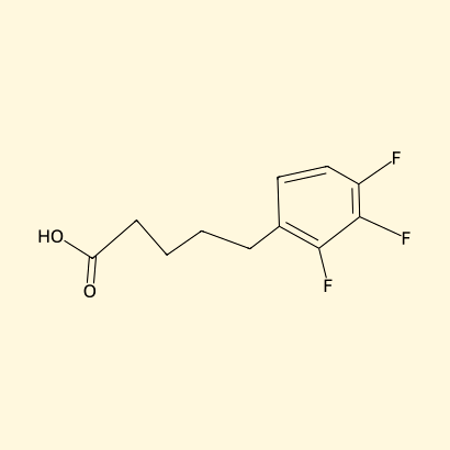 O=C(O)CCCCc1ccc(F)c(F)c1F